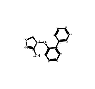 N#CC1=NSCN1Oc1ccccc1-c1ccccc1